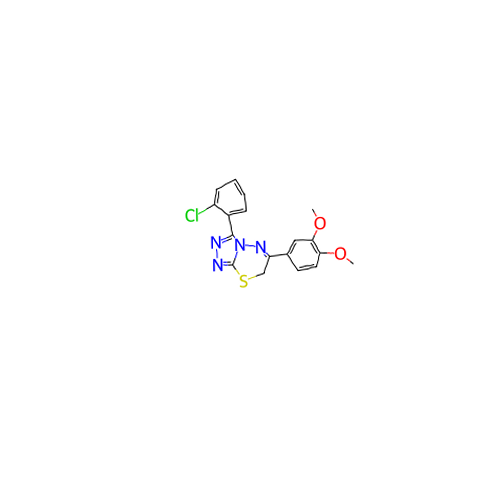 COc1ccc(C2=Nn3c(nnc3-c3ccccc3Cl)SC2)cc1OC